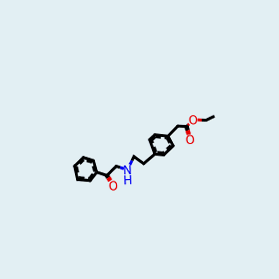 CCOC(=O)Cc1ccc(CCNCC(=O)c2ccccc2)cc1